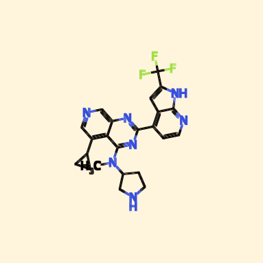 CN(c1nc(-c2ccnc3[nH]c(C(F)(F)F)cc23)nc2cncc(C3CC3)c12)C1CCNC1